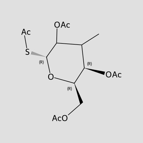 CC(=O)OC[C@H]1O[C@H](SC(C)=O)C(OC(C)=O)C(C)[C@H]1OC(C)=O